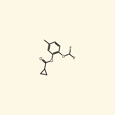 Cc1ccc(OC(F)F)c(OC(=O)C2CC2)c1